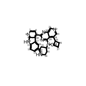 CN(c1nc(-c2ccnc3[nH]c4ccc(F)cc4c23)nc2cncc(C3CCC3)c12)C1CCNCC1